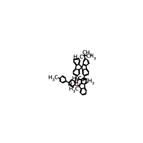 Cc1ccc(-c2cccc(N(c3ccc4c(c3)C3(c5ccccc5-4)c4cc(C(C)(C)C)ccc4-c4ccc(C(C)(C)C)cc43)c3cccc4c3C(C)(C)c3ccccc3-4)c2)cc1